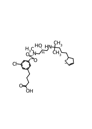 CN(C[C@H](O)CNC(C)(C)CCCC1CC=CS1)S(=O)(=O)c1cc(Cl)cc(CCCC(=O)O)c1